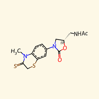 CC(=O)NC[C@H]1CN(c2ccc3c(c2)SCC(=S)N3C)C(=O)O1